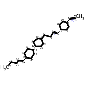 C/C=C/[C@H]1CC[C@H](/C=C/CCC2CCC([C@H]3CC[C@H](CCCCC)CC3)CC2)CC1